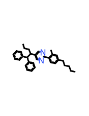 CCCCCc1ccc(-c2ncc(C(CCC)C(c3ccccc3)c3ccccc3)cn2)c(C)c1